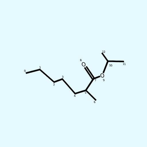 CCCCCC(C)C(=O)OC(C)C